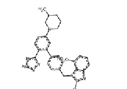 CCOc1nc2cccc(C(=O)O)c2n1Cc1ccc(-c2cc(N3CCCC(C)C3)ccc2-c2nn[nH]n2)cc1